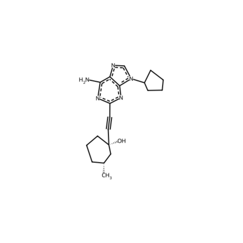 C[C@@H]1CCC[C@@](O)(C#Cc2nc(N)c3ncn(C4CCCC4)c3n2)C1